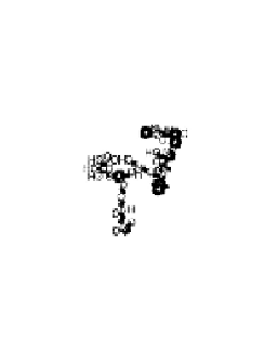 COCCN(CCOCCC1(Cn2ncc(-c3ccc(N4CCc5c(OC)ccc(C(=O)Nc6nc7ccccc7s6)c5C4)nc3C(=O)O)c2C)CC2(C)CCCC(C)(C2)C1)C(=O)OCc1ccc(O[C@@H]2O[C@H](C(=O)O)[C@@H](O)[C@H](O)[C@H]2O)cc1OCCOCCNC(=O)CCN1C(=O)C=CC1=O